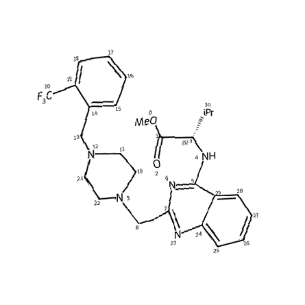 COC(=O)[C@@H](Nc1nc(CN2CCN(Cc3ccccc3C(F)(F)F)CC2)nc2ccccc12)C(C)C